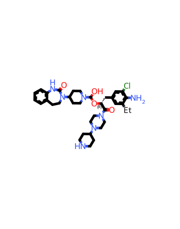 CCc1cc(C[C@@H](OC(O)N2CCC(N3CCc4ccccc4NC3=O)CC2)C(=O)N2CCN(C3CCNCC3)CC2)cc(Cl)c1N